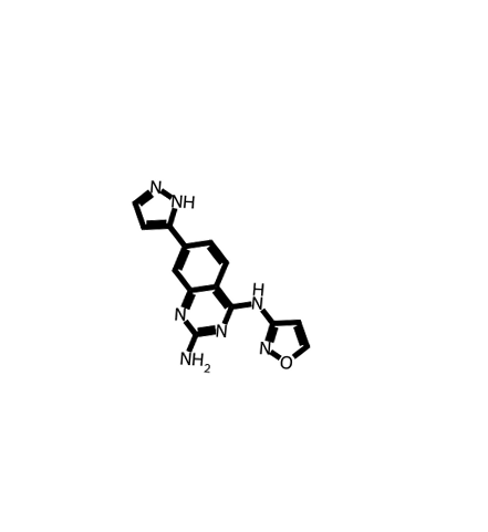 Nc1nc(Nc2ccon2)c2ccc(-c3ccn[nH]3)cc2n1